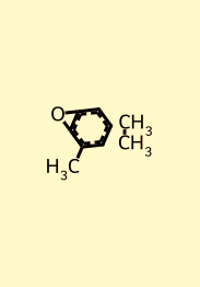 CC.Cc1cccc2c1O2